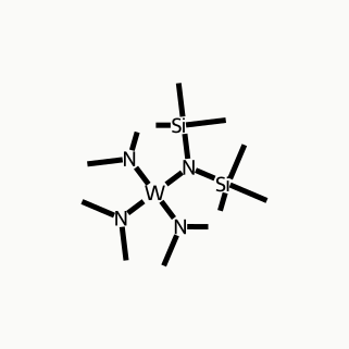 C[N](C)[W]([N](C)C)([N](C)C)[N]([Si](C)(C)C)[Si](C)(C)C